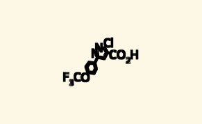 O=C(O)c1cc(-c2ccc(OC(F)(F)F)cc2)nnc1Cl